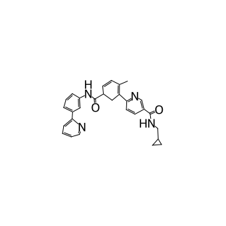 CC1=C(c2ccc(C(=O)NCC3CC3)cn2)CC(C(=O)Nc2cccc(-c3ccccn3)c2)C=C1